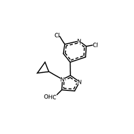 O=Cc1cnc(-c2cc(Cl)nc(Cl)c2)n1C1CC1